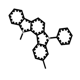 Cc1ccc2c3c4c(ccc3n(-c3ccccc3)c2c1)c1ccccc1n4C